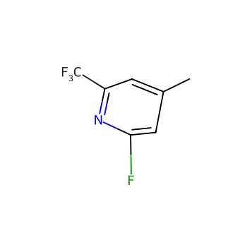 Cc1cc(F)nc(C(F)(F)F)c1